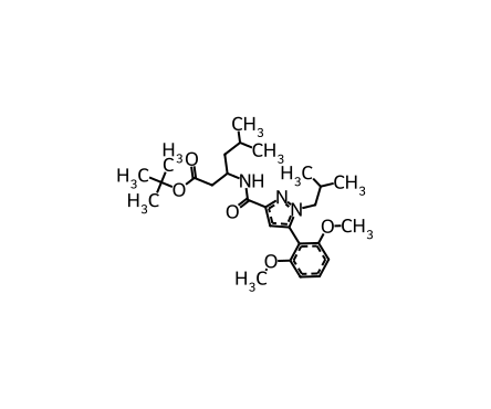 COc1cccc(OC)c1-c1cc(C(=O)NC(CC(=O)OC(C)(C)C)CC(C)C)nn1CC(C)C